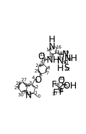 Cc1cc(COc2ccc(C(=O)NC3CNCC3c3n[nH]c(=S)[nH]3)cc2)c2ccccc2n1.O=C(O)C(F)(F)F